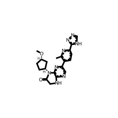 CO[C@H]1CC[C@@H](N2C(=O)CNc3ncc(-c4ccc(-c5nnc[nH]5)nc4C)nc32)C1